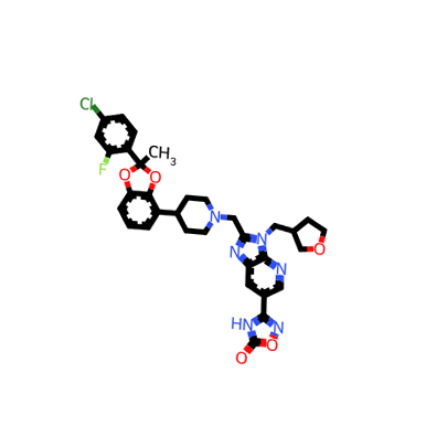 CC1(c2ccc(Cl)cc2F)Oc2cccc(C3CCN(Cc4nc5cc(-c6noc(=O)[nH]6)cnc5n4CC4CCOC4)CC3)c2O1